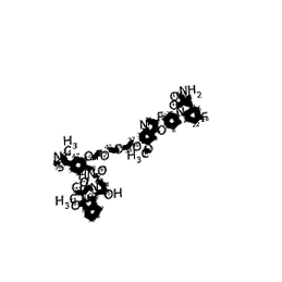 COc1cc2c(Oc3ccc(N(C(=O)C4(C(N)=O)CC4)c4ccc(F)cc4)cc3F)ccnc2cc1OCCOCCOCCOc1cc(-c2scnc2C)ccc1CNC(=O)[C@@H]1C[C@@H](O)CN1C(=O)C(C(C)C)N1Cc2ccccc2C1=O